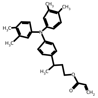 C=CC(=O)OCCC(C)c1ccc(N(c2ccc(C)c(C)c2)c2ccc(C)c(C)c2)cc1